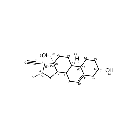 C#C[C@]1(O)[C@@H](C)CC2C3CC=C4C[C@@H](O)CC[C@@H]4C3CC[C@@]21C